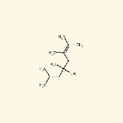 C/C(N)=C(/C)CC(C)(C)CC(C)C